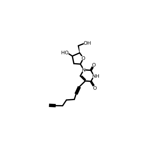 C#CCCCC#Cc1cn(C2CC(O)[C@@H](CO)O2)c(=O)[nH]c1=O